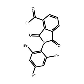 CC(C)c1cc(C(C)C)c(N2C(=O)c3cccc(C(=O)Cl)c3C2=O)c(C(C)C)c1